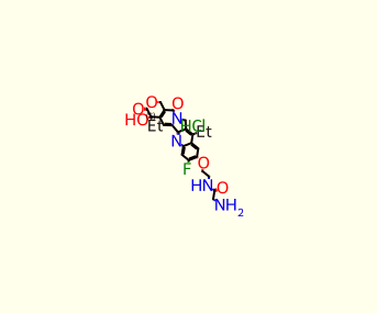 CCc1c2c(nc3cc(F)c(OCCNC(=O)CN)cc13)-c1cc3c(c(=O)n1C2)COC(=O)[C@]3(O)CC.Cl